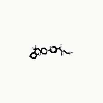 CC(C)CCNC(=O)c1ccc(N2CCC3(CC2)CC(F)(F)c2ccccc2O3)nc1